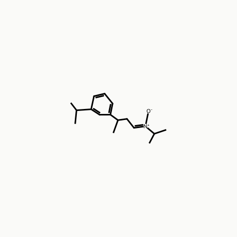 CC(C)c1cccc(C(C)CC=[N+]([O-])C(C)C)c1